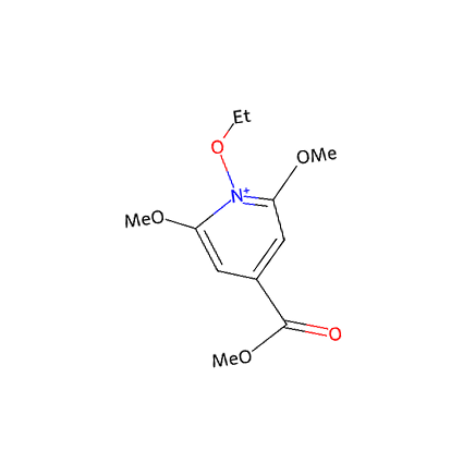 CCO[n+]1c(OC)cc(C(=O)OC)cc1OC